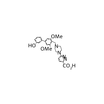 COc1cc(-c2cccc(O)c2)cc(OC)c1CN1CCN(c2ccc(C(=O)O)nn2)CC1